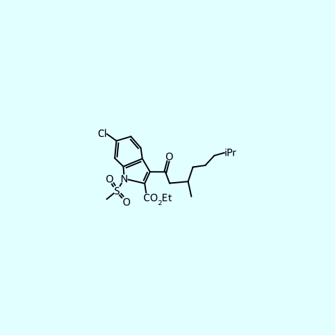 CCOC(=O)c1c(C(=O)CC(C)CCCC(C)C)c2ccc(Cl)cc2n1S(C)(=O)=O